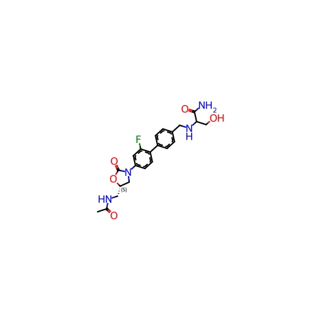 CC(=O)NC[C@H]1CN(c2ccc(-c3ccc(CNC(CO)C(N)=O)cc3)c(F)c2)C(=O)O1